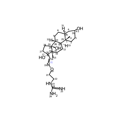 C[C@]12CC[C@H](O)C[C@H]1CC[C@@H]1[C@@H]2CC[C@]2(C)[C@@](O)(/C=N/OCCNC(=N)N)CC[C@]12O